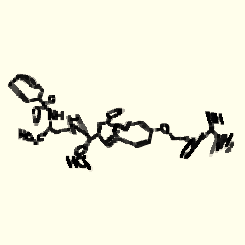 Cl.N=C(N)NCCOc1ccc2cc(C(=O)NC[C@H](NS(=O)(=O)c3ccccc3)C(=O)O)cc(=O)n2c1